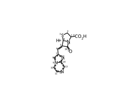 O=C(O)C1CS[C@@H]2C(=Cc3cn4ccncc4n3)C(=O)N12